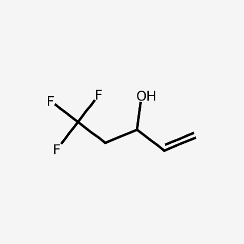 C=CC(O)CC(F)(F)F